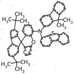 CC(C)(C)c1ccc2c(c1)C1(c3ccccc3Oc3c(N(c4ccc5c(c4)C(C)(C)c4ccccc4-5)c4cccc5c4sc4ccccc45)cccc31)c1cc(C(C)(C)C)ccc1-2